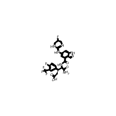 NC(=O)C(NC(=O)c1cc(NC2=NCC(F)CN2)cc2[nH]ncc12)[C@@H](CC(=O)O)c1ccc(F)c(C(F)(F)F)c1